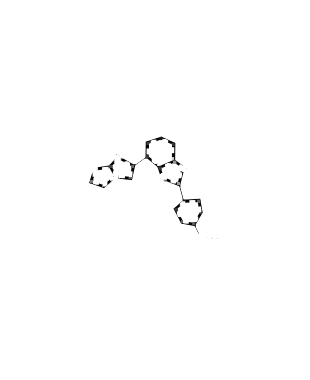 COc1ccc(-c2nc3cccc(-c4cn5ccsc5n4)c3[nH]2)cc1